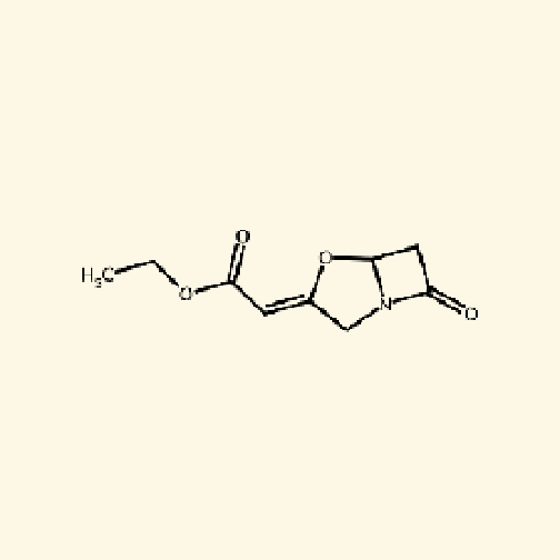 CCOC(=O)C=C1CN2C(=O)CC2O1